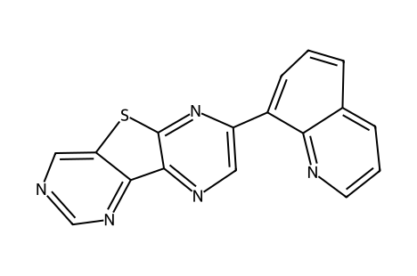 c1cnc2c(-c3cnc4c(n3)sc3cncnc34)cccc2c1